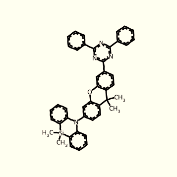 CC1(C)c2ccc(-c3nc(-c4ccccc4)nc(-c4ccccc4)n3)cc2Oc2cc(N3c4ccccc4[Si](C)(C)c4ccccc43)ccc21